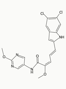 CO/C(=C/C=C/c1cc2cc(Cl)c(Cl)cc2[nH]1)C(=O)Nc1cnc(OC)nc1